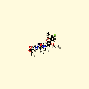 CCOc1cc(CN2CC3(CC(N4CCC(C)(C(=O)O)CC4)=NO3)C2(C)C)cc(OCC)c1-c1ccc(F)cc1